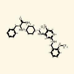 NC(=O)[C@H](Cc1ccccc1)N[C@H]1CC[C@@H](CNc2nc(NCc3ccccc3OC(F)(F)F)ncc2[N+](=O)[O-])CC1